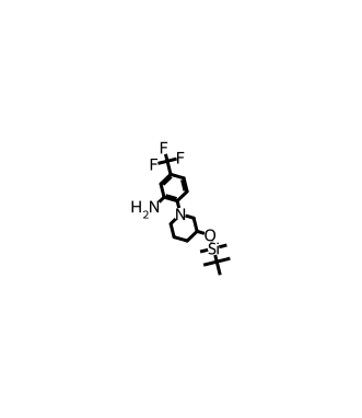 CC(C)(C)[Si](C)(C)OC1CCCN(c2ccc(C(F)(F)F)cc2N)C1